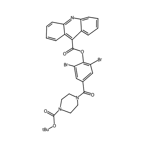 CC(C)(C)OC(=O)N1CCN(C(=O)c2cc(Br)c(OC(=O)c3c4ccccc4nc4ccccc34)c(Br)c2)CC1